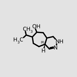 CC(C)C1CC[C@H]2C=NNCC2CC1O